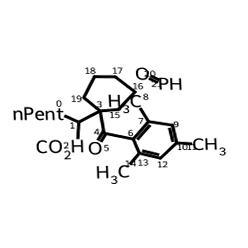 CCCCCC(C(=O)O)C1(C(=O)c2c(C)cc(C)cc2C)CCCCC1.O=P